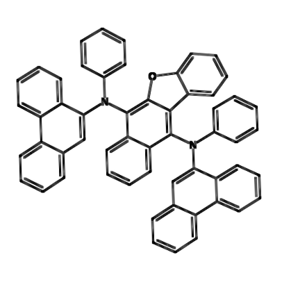 c1ccc(N(c2cc3ccccc3c3ccccc23)c2c3ccccc3c(N(c3ccccc3)c3cc4ccccc4c4ccccc34)c3c2oc2ccccc23)cc1